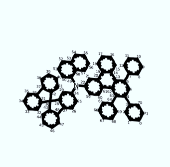 c1ccc(-c2cc(-c3ccccc3)c3c4ccccc4c4cc(N(c5ccc6c(c5)C5(c7ccccc7-c7ccccc75)c5ccccc5-6)c5cccc6ccccc56)ccc4c3c2-c2ccccc2)cc1